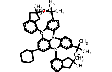 CC1(C)Cc2cccc(N3c4cc(C(C)(C)C)ccc4B4c5ccc(C(C)(C)C)cc5N(c5cccc6c5CC(C)(C)C6)c5cc(C6CCCCC6)cc3c54)c2C1